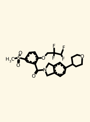 CS(=O)(=O)c1ccc(OCC(F)(F)C(F)F)c(C(=O)N2Cc3ccc(C4CCOCC4)cc3C2)c1